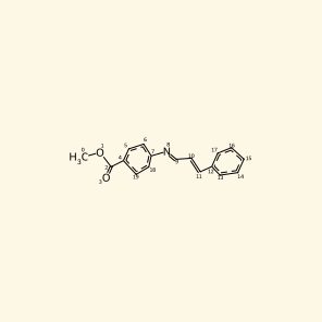 COC(=O)c1ccc(N=CC=Cc2ccccc2)cc1